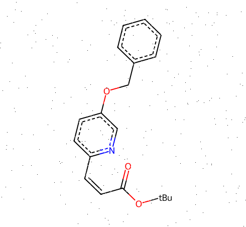 CC(C)(C)OC(=O)/C=C\c1ccc(OCc2ccccc2)cn1